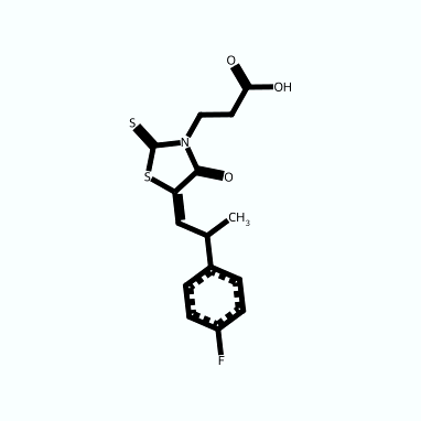 CC(/C=C1/SC(=S)N(CCC(=O)O)C1=O)c1ccc(F)cc1